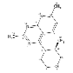 Cc1ccc2c(N3CCOC[C@@H]3C)nc(C)nc2n1